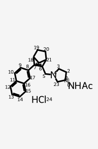 CC(=O)N[C@H]1CCN(CC2=C(c3ccc4ccccc4c3)C3CCC2C3)C1.Cl